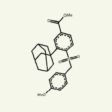 COC(=O)c1ccc(S(=O)(=O)Cc2ccc(OC)cc2)c(C23CC4CC(CC(C4)C2)C3)c1